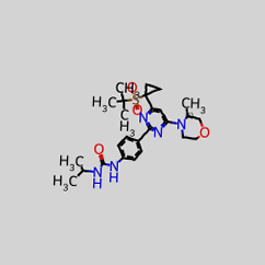 CC(C)NC(=O)Nc1ccc(-c2nc(N3CCOC[C@@H]3C)cc(C3(S(=O)(=O)C(C)(C)C)CC3)n2)cc1